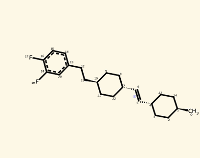 C[C@H]1CC[C@H](/C=C/[C@H]2CC[C@H](CCc3ccc(F)c(F)c3)CC2)CC1